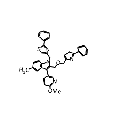 COc1ccc(-c2c(COCC3=CCC(c4ccccc4)=N3)n(Cc3csc(-c4ccccc4)n3)c3ccc(C)cc23)cn1